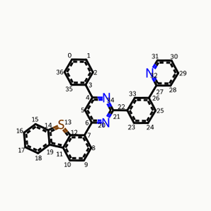 c1ccc(-c2cc(-c3cccc4c3sc3ccccc34)nc(-c3cccc(-c4ccccn4)c3)n2)cc1